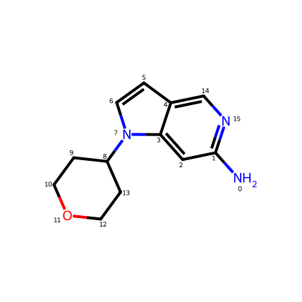 Nc1cc2c(ccn2C2CCOCC2)cn1